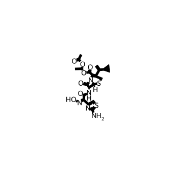 C=C(C1=C(C(=O)OC(C)OC(C)=O)N2C(=O)[C@@H](NC(=O)/C(=N\O)c3csc(N)n3)[C@H]2SC1)C1CC1